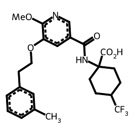 COc1ncc(C(=O)NC2(C(=O)O)CCC(C(F)(F)F)CC2)cc1OCCc1cccc(C)c1